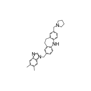 Cc1cc2ncn(Cc3ccc4c(c3)CCc3cc(CN5CCCC5)ccc3N4)c2cc1C